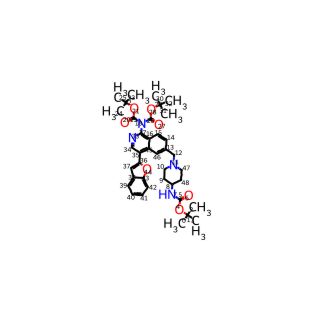 CC(C)(C)OC(=O)NC1CCN(Cc2ccc3c(N(C(=O)OC(C)(C)C)C(=O)OC(C)(C)C)ncc(-c4cc5ccccc5o4)c3c2)CC1